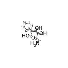 NCC1OC(O)[C@H](N2CCCCC2)[C@@H](O)[C@H]1O